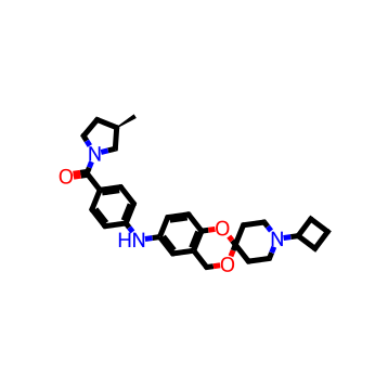 C[C@@H]1CCN(C(=O)c2ccc(Nc3ccc4c(c3)COC3(CCN(C5CCC5)CC3)O4)cc2)C1